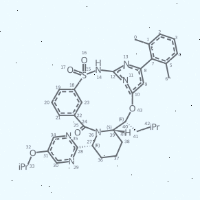 Cc1cccc(C)c1-c1cc2nc(n1)NS(=O)(=O)c1cccc(c1)C(=O)N1[C@@H](c3ncc(OC(C)C)cn3)CCC[C@H]1[C@@H](CC(C)C)O2